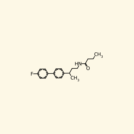 CCCC(=O)NCCC(C)c1ccc(-c2ccc(F)cc2)cc1